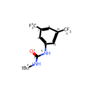 CC(C)(C)NC(=O)Nc1cc(C(F)(F)F)cc(C(F)(F)F)c1